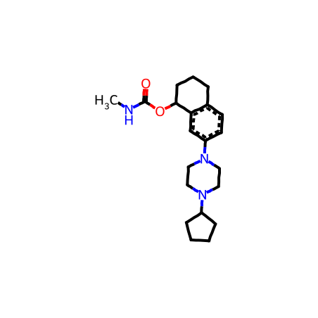 CNC(=O)OC1CCCc2ccc(N3CCN(C4CCCC4)CC3)cc21